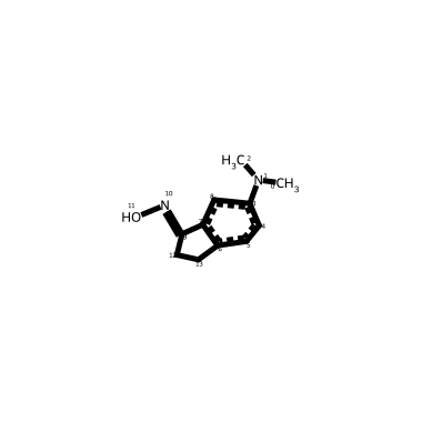 CN(C)c1ccc2c(c1)C(=NO)CC2